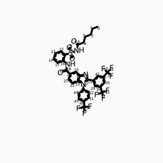 CCCCCC(=O)NS(=O)(=O)c1ccccc1NC(=O)c1ccc2c(c1)nc(-c1cc(C(F)(F)F)cc(C(F)(F)F)c1)n2-c1ccc(C(F)(F)F)cc1